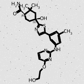 Cc1cc(Nc2nccc(OCCO)n2)cc(-c2cnc([C@]3(O)CC[C@@H](C(N)=O)C(C)(C)C3)s2)c1